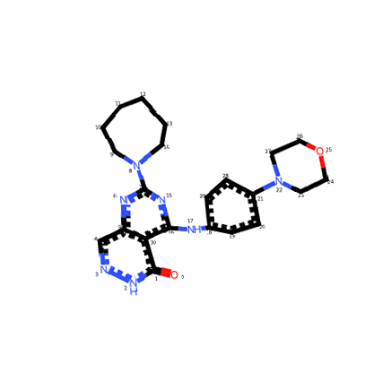 O=c1[nH]ncc2nc(N3CCCCCC3)nc(Nc3ccc(N4CCOCC4)cc3)c12